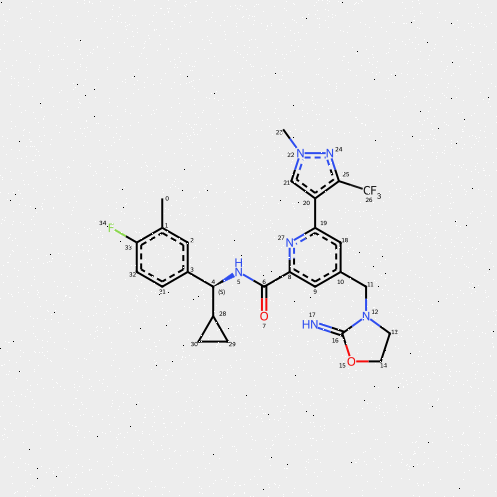 Cc1cc([C@@H](NC(=O)c2cc(CN3CCOC3=N)cc(-c3cn(C)nc3C(F)(F)F)n2)C2CC2)ccc1F